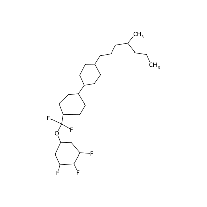 CCCC(C)CCCC1CCC(C2CCC(C(F)(F)OC3CC(F)C(F)C(F)C3)CC2)CC1